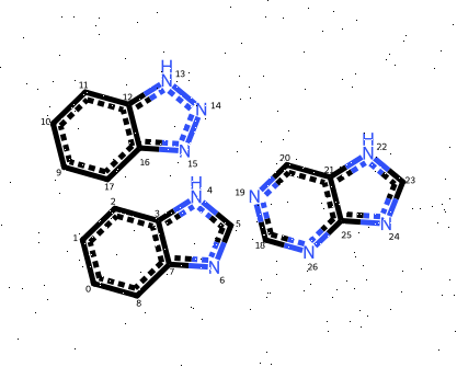 c1ccc2[nH]cnc2c1.c1ccc2[nH]nnc2c1.c1ncc2[nH]cnc2n1